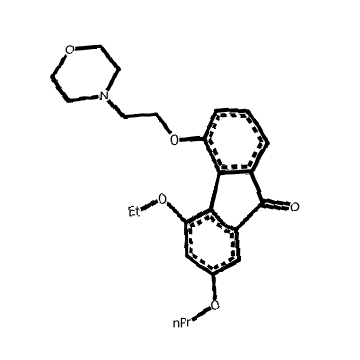 CCCOc1cc(OCC)c2c(c1)C(=O)c1cccc(OCCN3CCOCC3)c1-2